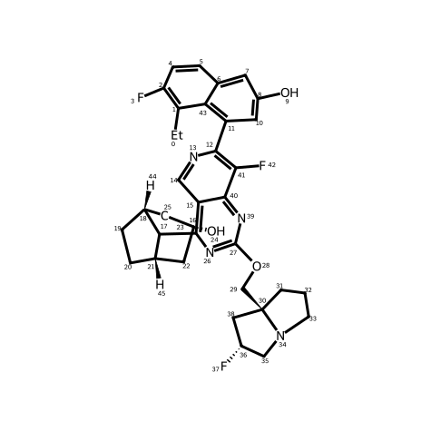 CCc1c(F)ccc2cc(O)cc(-c3ncc4c(C5[C@@H]6CC[C@H]5C[C@@H](O)C6)nc(OC[C@@]56CCCN5C[C@H](F)C6)nc4c3F)c12